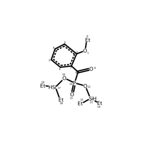 CCOc1ccccc1C(=O)P(=O)(O[SiH](CC)CC)O[SiH](CC)CC